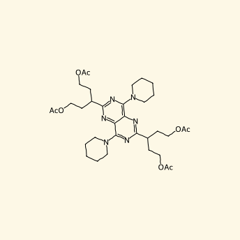 CC(=O)OCCC(CCOC(C)=O)c1nc(N2CCCCC2)c2nc(C(CCOC(C)=O)CCOC(C)=O)nc(N3CCCCC3)c2n1